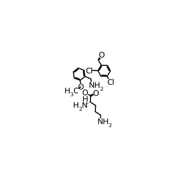 COc1ccccc1CN.NCCC[C@H](N)C(=O)O.O=Cc1ccc(Cl)cc1Cl